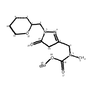 CN(CC1=NN(CC2CCCCO2)C(=O)C1)C(=O)OC(C)(C)C